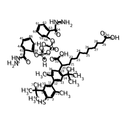 Cc1cc(S)c(C(C)(C)C)cc1-c1cc(C(C)(C)C)c(C(CCCCCCCCCC(=O)O)C(=O)O)cc1C.NNC(=O)c1ccccc1OP(=O)(O)OP(=O)(O)Oc1ccccc1C(=O)NN